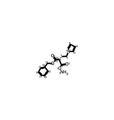 NOC(=O)[C@@H](CCn1cccc1)C(=O)OCc1ccccc1